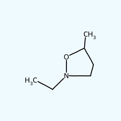 CCN1CCC(C)O1